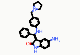 Nc1ccc2c(c1)C(=C(Nc1ccc(CN3CCCC3)cc1)c1ccccc1)C(=O)N2